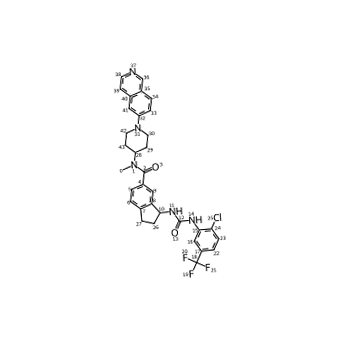 CN(C(=O)c1ccc2c(c1)C(NC(=O)Nc1cc(C(F)(F)F)ccc1Cl)CC2)C1CCN(c2ccc3cnccc3c2)CC1